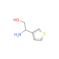 NC(CO)c1ccsc1